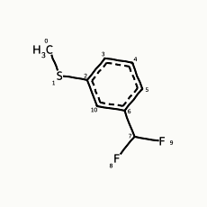 CSc1cccc(C(F)F)c1